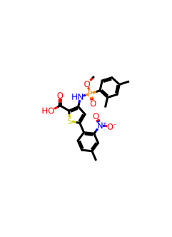 COP(=O)(Nc1cc(-c2ccc(C)cc2[N+](=O)[O-])sc1C(=O)O)c1ccc(C)cc1C